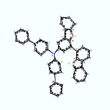 c1ccc(-c2ccc(N(c3ccc(-c4ccccc4)cc3)c3cc(-c4cccc5c4sc4ccccc45)c4sc5ccccc5c4c3)cc2)cc1